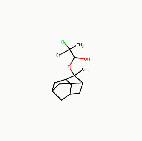 CCC(C)(Cl)C(O)OC1(C)C2CC3CC(C2)CC1C3